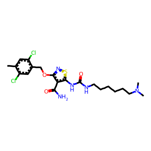 Cc1cc(Cl)c(COc2nsc(NC(=O)NCCCCCCN(C)C)c2C(N)=O)cc1Cl